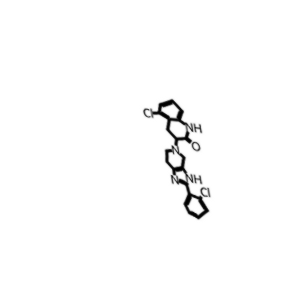 O=C1Nc2cccc(Cl)c2CC1N1CCc2nc(-c3ccccc3Cl)[nH]c2C1